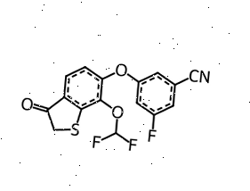 N#Cc1cc(F)cc(Oc2ccc3c(c2OC(F)F)SCC3=O)c1